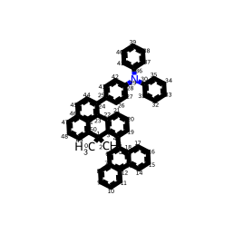 CC1(C)c2c(-c3cc4ccccc4c4ccccc34)cccc2-c2c(-c3ccc(N(c4ccccc4)c4ccccc4)cc3)ccc3cccc1c23